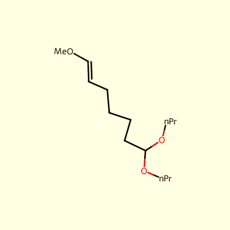 CCCOC(CCCCC=COC)OCCC